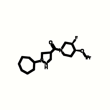 CC(C)O[C@H]1CCN(C(=O)C2CNN(C3CCCCCC3)C2)C[C@H]1F